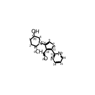 C[C@@H]1CC[C@@H](O)CN1c1csc(-c2ncccn2)c1C=O